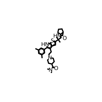 Cc1cc(C)cc(-c2[nH]c3sc(C(C)(C)CC4C5CCC4C(=O)N5)cc3c2CCN2CCC(C(=O)N(C)C)CC2)c1